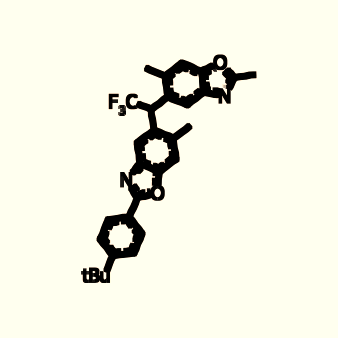 Cc1nc2cc(C(c3cc4nc(-c5ccc(C(C)(C)C)cc5)oc4cc3C)C(F)(F)F)c(C)cc2o1